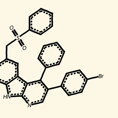 O=S(=O)(Cc1ccc2[nH]c3ncc(-c4ccc(Br)cc4)c(-c4ccccc4)c3c2c1)c1ccccc1